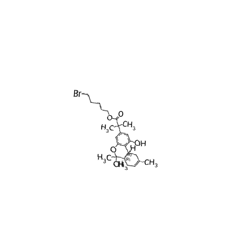 CC1=CC[C@@H]2[C@@H](C1)c1c(O)cc(C(C)(C)C(=O)OCCCCCBr)cc1OC2(C)C